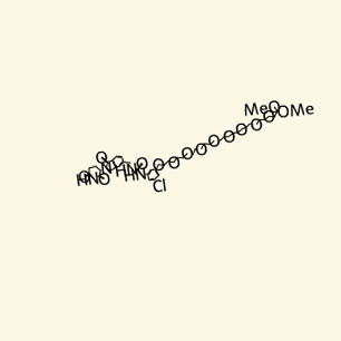 COC(COCCOCCOCCOCCOCCOCCOCCOCCOc1cc(Cl)cc(NC(=O)NCc2ccc3c(c2)CN(C2CCC(=O)NC2=O)C3=O)c1)OC